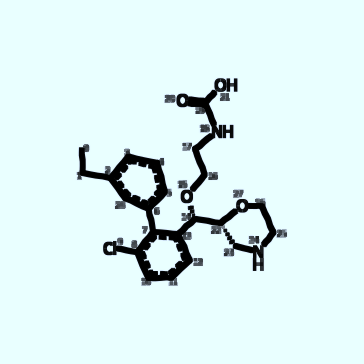 CCc1cccc(-c2c(Cl)cccc2[C@H](OCCNC(=O)O)[C@H]2CNCCO2)c1